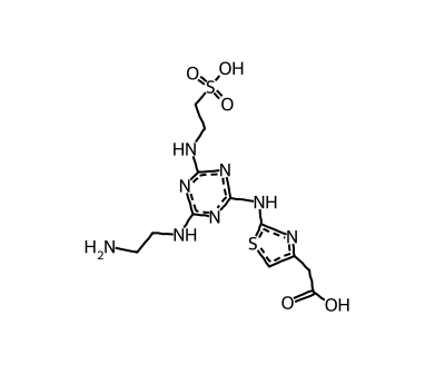 NCCNc1nc(NCCS(=O)(=O)O)nc(Nc2nc(CC(=O)O)cs2)n1